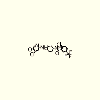 COc1cnc(NC[C@H]2CC[C@H](NC(=O)c3cc(C(F)(F)F)ccc3Cl)CC2)cc1Cl